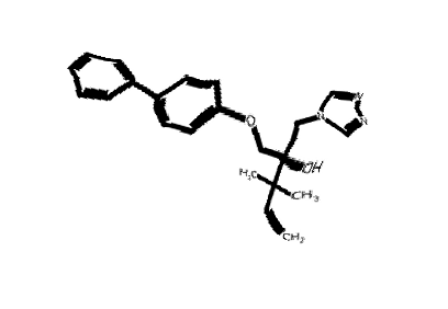 C=CC(C)(C)C(O)(COc1ccc(-c2ccccc2)cc1)Cn1cnnc1